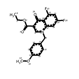 CCOC(=O)c1cn(Cc2ccc(OC)cc2)c2cc(F)cc(F)c2c1=O